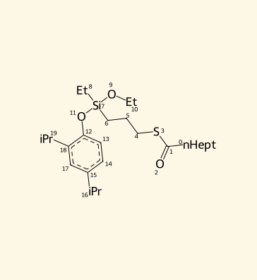 CCCCCCCC(=O)SCCC[Si](CC)(OCC)Oc1ccc(C(C)C)cc1C(C)C